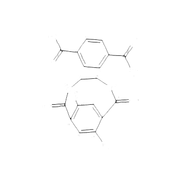 O=C(O)c1ccc(C(=O)O)cc1.O=C1OCCOC(=O)c2cc(Br)c1cc2Br